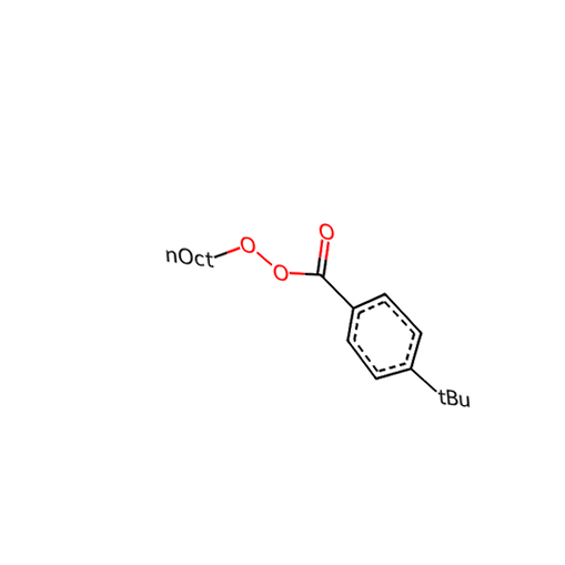 [CH2]CCCCCCCOOC(=O)c1ccc(C(C)(C)C)cc1